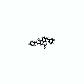 CC(=O)O/N=C(/CCC1CCCCC1)C(=O)c1ccc(Sc2ccccc2)cc1